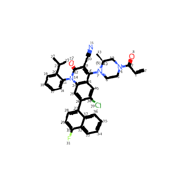 C=CC(=O)N1CCN(c2c(C#N)c(=O)n(-c3ccccc3C(C)C)c3cc(-c4ccc(F)c5ccccc45)c(Cl)cc23)[C@@H](C)C1